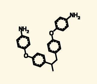 CC(Cc1ccc(Oc2ccc(N)cc2)cc1)c1ccc(Oc2ccc(N)cc2)cc1